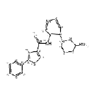 NC1CCCN(c2ccncc2NC(=O)c2csc(-c3ccccc3)n2)C1